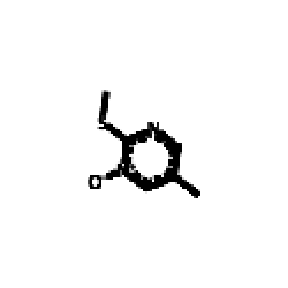 CSc1ncc(C)c[n+]1[O-]